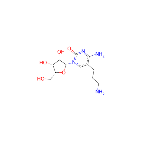 NCCCc1cn([C@@H]2O[C@H](CO)[C@H](O)[C@@H]2O)c(=O)nc1N